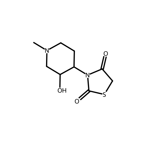 CN1CCC(N2C(=O)CSC2=O)C(O)C1